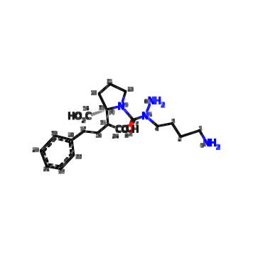 NCCCCN(N)C(=O)N1CCC[C@]1(C(=O)O)C(CCc1ccccc1)C(=O)O